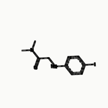 CN(C)C(=O)CNc1ccc(I)cc1